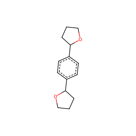 c1cc(C2CCCO2)ccc1C1CCCO1